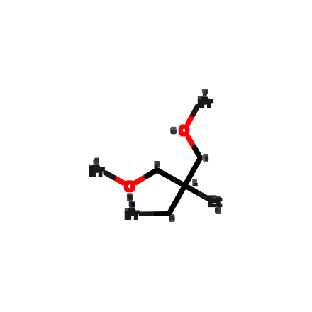 CCC(COC(C)C)(COC(C)C)CC(C)C